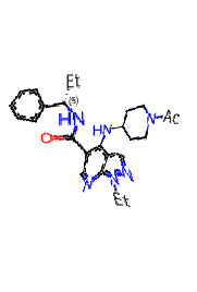 CC[C@H](NC(=O)c1cnc2c(cnn2CC)c1NC1CCN(C(C)=O)CC1)c1ccccc1